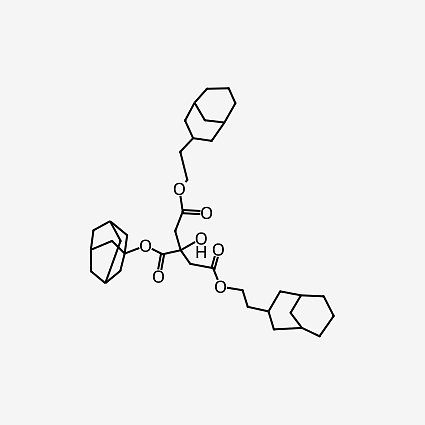 O=C(CC(O)(CC(=O)OCCC1CC2CCCC(C2)C1)C(=O)OC12CC3CC(CC(C3)C1)C2)OCCC1CC2CCCC(C2)C1